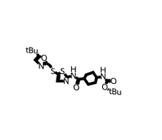 CC(C)(C)OC(=O)NC1CCC(C(=O)Nc2ncc(SCc3ncc(C(C)(C)C)o3)s2)CC1